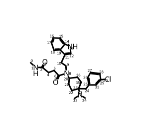 CNC(=O)CCC(=O)N(CCc1c[nH]c2ccccc12)C1CCC(Cc2cccc(Cl)c2)(N(C)C)CC1